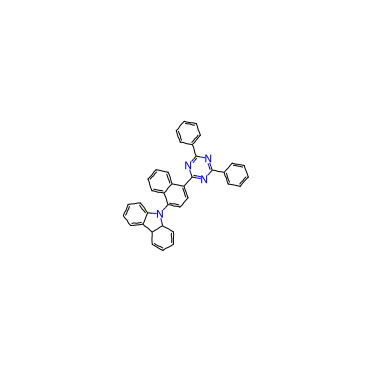 C1=CC2c3ccccc3N(c3ccc(-c4nc(-c5ccccc5)nc(-c5ccccc5)n4)c4ccccc34)C2C=C1